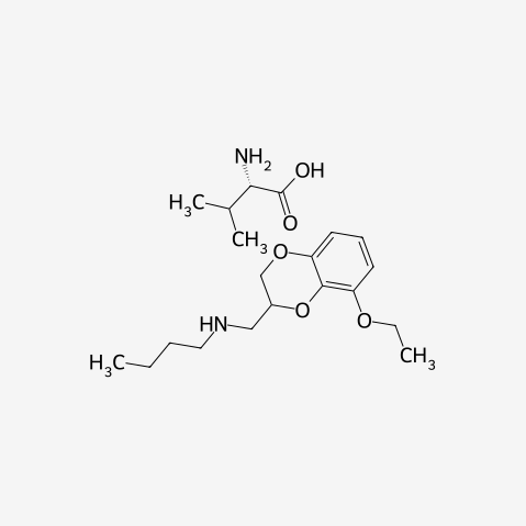 CC(C)[C@H](N)C(=O)O.CCCCNCC1COc2cccc(OCC)c2O1